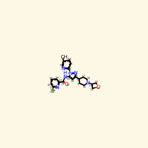 Cc1ccc(-n2nc(C3CCN(C4COC4)CC3)cc2NC(=O)c2cccc(Br)n2)nc1